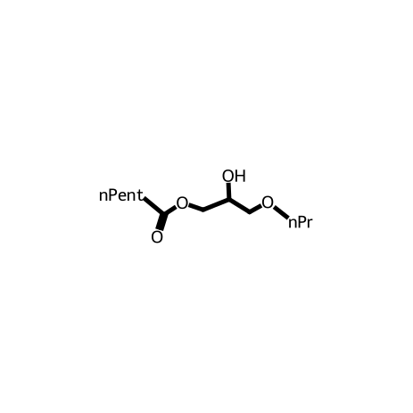 CCCCCC(=O)OCC(O)COCCC